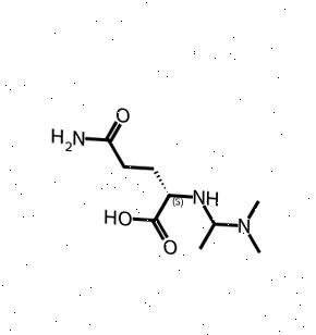 CC(N[C@@H](CCC(N)=O)C(=O)O)N(C)C